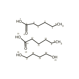 CCCCCC(=O)O.CCCCCC(=O)O.OCCCCO